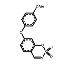 COc1ccc(Oc2ccc3c(c2)OS(=O)(=O)N=C3)cc1